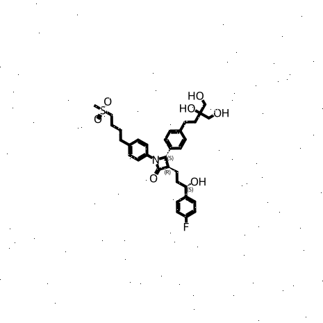 CS(=O)(=O)CCCCc1ccc(N2C(=O)[C@H](CC[C@H](O)c3ccc(F)cc3)[C@H]2c2ccc(CCC(O)(CO)CO)cc2)cc1